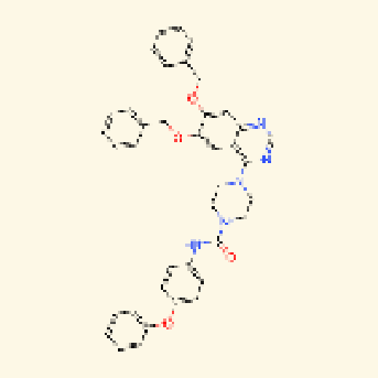 O=C(Nc1ccc(Oc2ccccc2)cc1)N1CCN(c2ncnc3cc(OCc4ccccc4)c(OCc4ccccc4)cc23)CC1